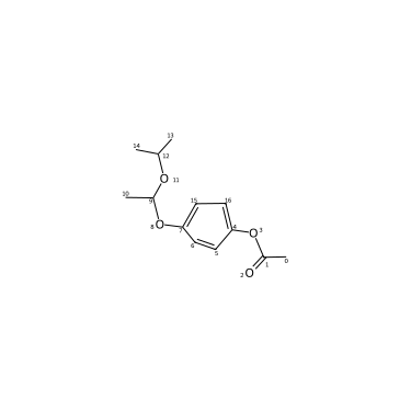 CC(=O)Oc1ccc(OC(C)OC(C)C)cc1